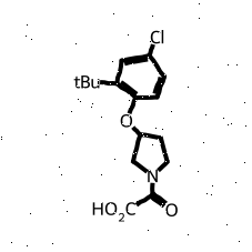 CC(C)(C)c1cc(Cl)ccc1OC1CCN(C(=O)C(=O)O)C1